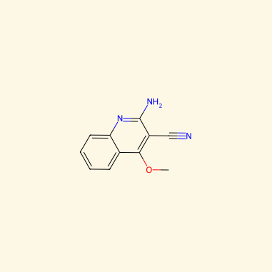 COc1c(C#N)c(N)nc2ccccc12